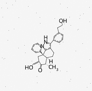 C[C@@H]1C(=O)C(=CO)C[C@]2(c3ccccc3)c3n[nH]c(-c4cccc(CCO)c4)c3CC[C@@H]12